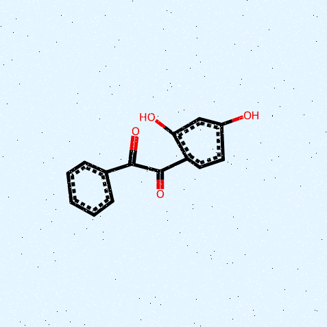 O=C(C(=O)c1ccc(O)cc1O)c1ccccc1